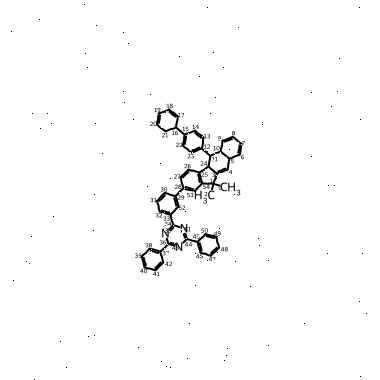 CC1(C)C2=CC3C=CC=CC3C(c3ccc(C4C=CC=CC4)cc3)C2c2ccc(-c3cccc(-c4nc(-c5ccccc5)nc(-c5ccccc5)n4)c3)cc21